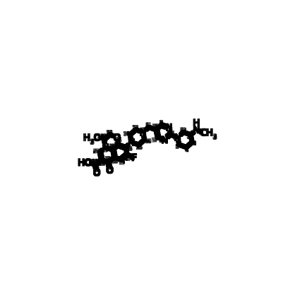 CNC1CCCN(c2ncc(CN3CCN(c4c(F)cc5c(=O)c(C(=O)O)cn6c5c4OC[C@@H]6C)CC3)cn2)C1